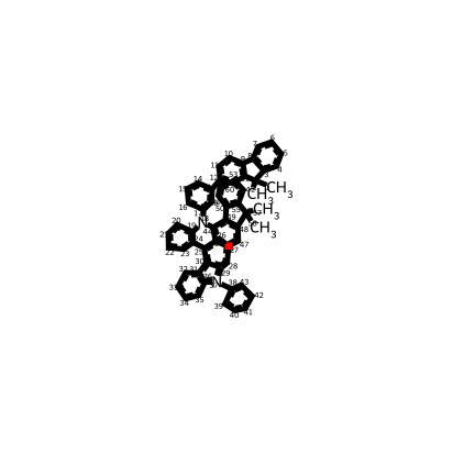 CC1(C)c2ccccc2-c2ccc(-c3cccc(N(c4ccccc4-c4cccc5c4c4ccccc4n5-c4ccccc4)c4cccc5c4-c4ccccc4C5(C)C)c3)cc21